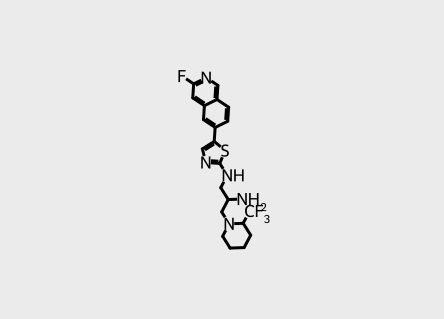 NC(CNc1ncc(-c2ccc3cnc(F)cc3c2)s1)CN1CCCCC1C(F)(F)F